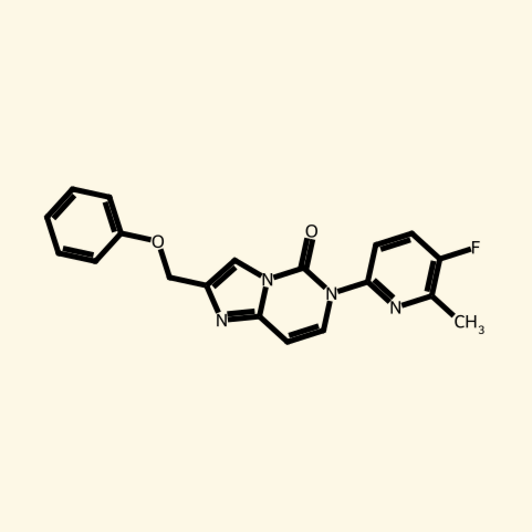 Cc1nc(-n2ccc3nc(COc4ccccc4)cn3c2=O)ccc1F